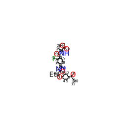 CC[C@@H](Oc1ccc(C(=O)C2CC2)cc1)c1nc(-c2ccc(C(=O)N[C@H]3CCOC3=O)c(F)c2)no1